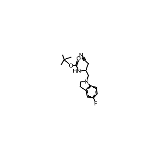 CC(C)(C)OC(=O)NC(CC#N)CN1CCc2cc(F)ccc21